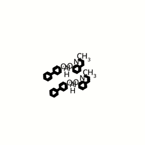 Cc1ccc2cccc([O][AlH][O]c3ccc(-c4ccccc4)cc3)c2n1.Cc1ccc2cccc([O][AlH][O]c3ccc(-c4ccccc4)cc3)c2n1